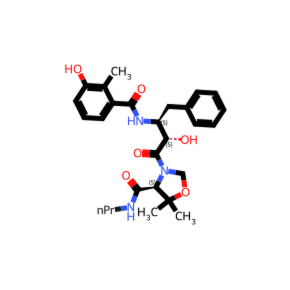 CCCNC(=O)[C@H]1N(C(=O)[C@@H](O)[C@H](Cc2ccccc2)NC(=O)c2cccc(O)c2C)COC1(C)C